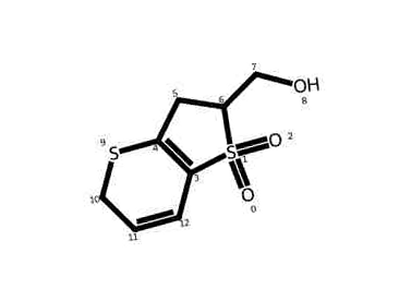 O=S1(=O)C2=C(CC1CO)SCC=C2